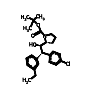 CCc1cccc([C@@H](c2ccc(Cl)cc2)[C@@H](O)[C@H]2CCCN2C(=O)OC(C)(C)C)c1